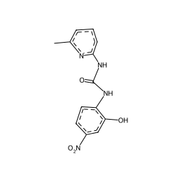 Cc1cccc(NC(=O)Nc2ccc([N+](=O)[O-])cc2O)n1